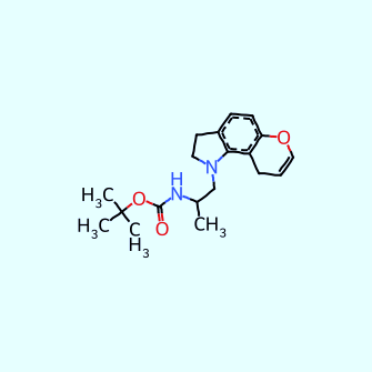 CC(CN1CCc2ccc3c(c21)CC=CO3)NC(=O)OC(C)(C)C